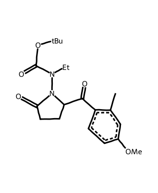 CCN(C(=O)OC(C)(C)C)N1C(=O)CCC1C(=O)c1ccc(OC)cc1C